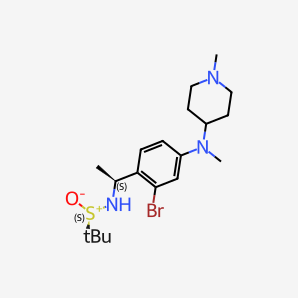 C[C@H](N[S@+]([O-])C(C)(C)C)c1ccc(N(C)C2CCN(C)CC2)cc1Br